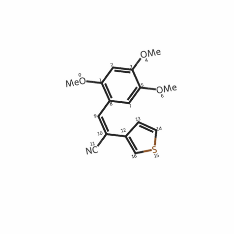 COc1cc(OC)c(OC)cc1C=C(C#N)c1ccsc1